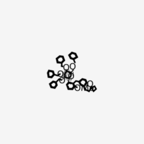 COc1cccc([C@@H]2O[C@H](COCc3ccccc3)[C@@H](OCc3ccccc3)[C@H](OCc3ccccc3)[C@H]2OCc2ccccc2)c1Cc1ccc2c(c1)CCC1(CCC1)O2